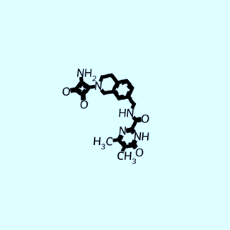 Cc1nc(C(=O)NCc2ccc3c(c2)CN(c2c(N)c(=O)c2=O)CC3)[nH]c(=O)c1C